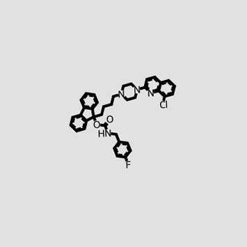 O=C(NCc1ccc(F)cc1)OC1(CCCCN2CCN(c3ccc4cccc(Cl)c4n3)CC2)c2ccccc2-c2ccccc21